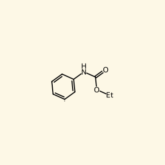 CCOC(=O)Nc1c[c]ccc1